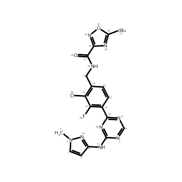 Cn1ccc(Nc2ncnc(-c3ccc(CNC(=O)c4noc(C(C)(C)C)n4)c(Cl)c3F)n2)n1